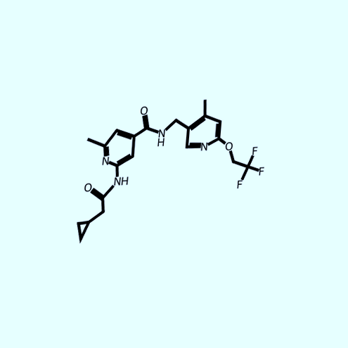 Cc1cc(C(=O)NCc2cnc(OCC(F)(F)F)cc2C)cc(NC(=O)CC2CC2)n1